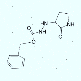 O=C(NNC1CCNC1=O)OCc1ccccc1